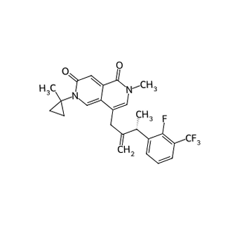 C=C(Cc1cn(C)c(=O)c2cc(=O)n(C3(C)CC3)cc12)[C@H](C)c1cccc(C(F)(F)F)c1F